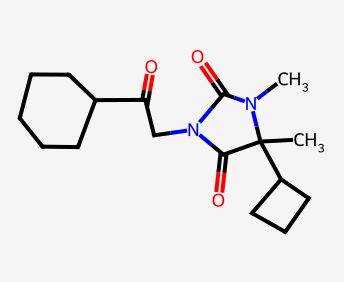 CN1C(=O)N(CC(=O)C2CCCCC2)C(=O)C1(C)C1CCC1